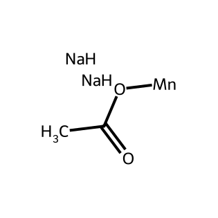 CC(=O)[O][Mn].[NaH].[NaH]